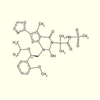 COc1ccccc1[C@H](CN1c2sc(-c3ncco3)c(C)c2C(=O)N(C(C)(C)C(=O)NS(C)(=O)=O)C1O)OC(C)C